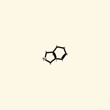 C1=CC2=C(CC1)C[N]C2